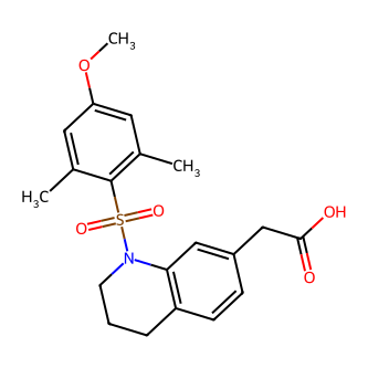 COc1cc(C)c(S(=O)(=O)N2CCCc3ccc(CC(=O)O)cc32)c(C)c1